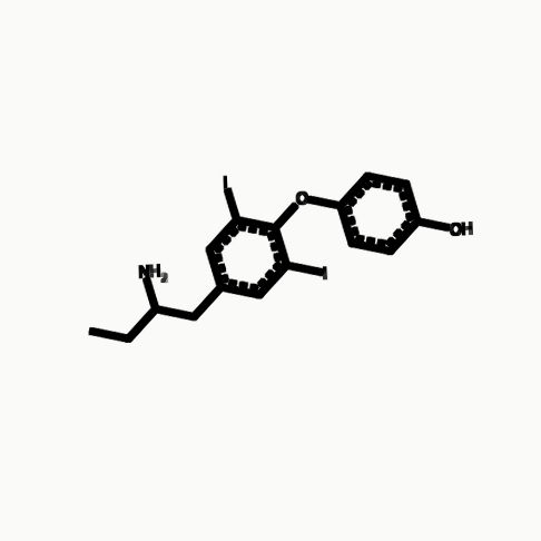 CCC(N)Cc1cc(I)c(Oc2ccc(O)cc2)c(I)c1